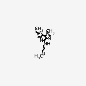 COCCCNc1nc2sc(SC)nc2c2c1ncn2C